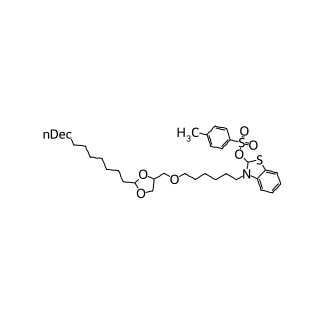 CCCCCCCCCCCCCCCCCC1OCC(COCCCCCCN2c3ccccc3SC2OS(=O)(=O)c2ccc(C)cc2)O1